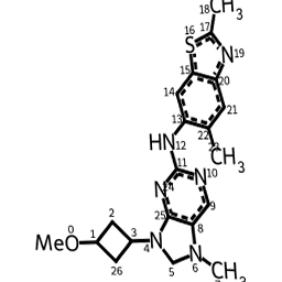 COC1CC(N2CN(C)c3cnc(Nc4cc5sc(C)nc5cc4C)nc32)C1